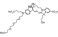 COCCOCCOCCOCCN(CCCS(=O)(=O)O)c1ccc(C(=C\CC(C)(C)C)/C=C/C=C2\N(CCCS(=O)(=O)O)c3ccc(S(=O)(=O)O)cc3C2(C)CCCO)c(O)c1